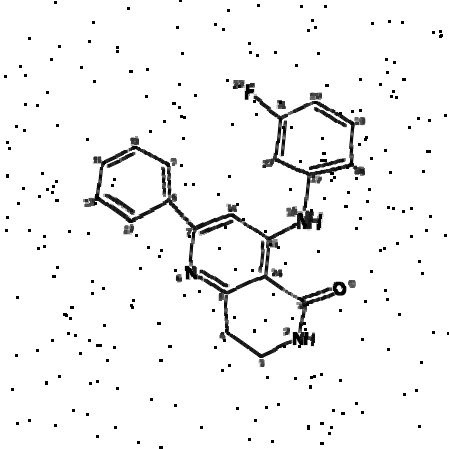 O=C1NCCc2nc(-c3ccccc3)cc(Nc3cccc(F)c3)c21